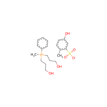 C[P+](CCCO)(CCCO)c1ccccc1.Cc1ccc(O)cc1S(=O)(=O)[O-]